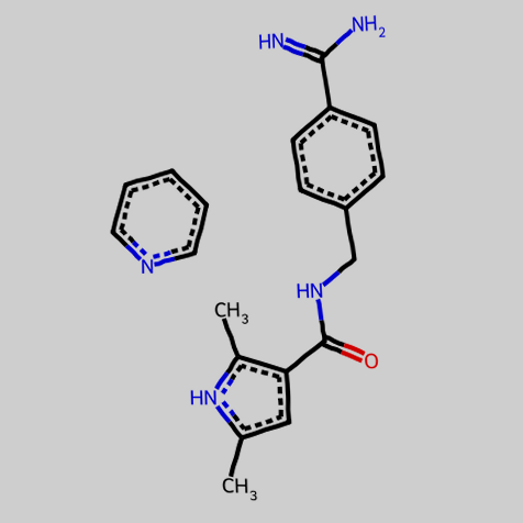 Cc1cc(C(=O)NCc2ccc(C(=N)N)cc2)c(C)[nH]1.c1ccncc1